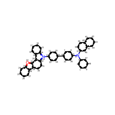 c1ccc(N(c2ccc(-c3ccc(-n4c5ccccc5c5c6oc7ccccc7c6ccc54)cc3)cc2)c2ccc3ccccc3c2)cc1